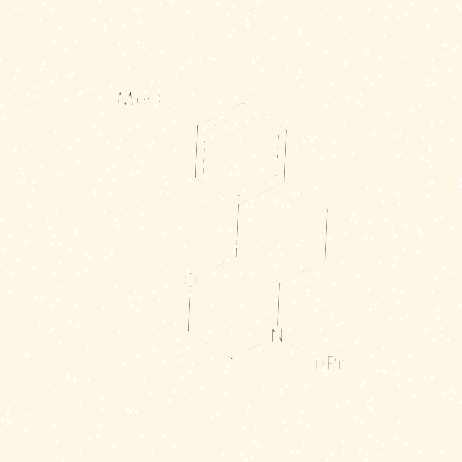 CCCN1CCOC2c3cc(OC)ccc3CCC21